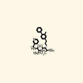 Cc1cc(CCC[C@@H](C(=O)N[C@H](C(=O)N[C@H](C)c2cccnc2)C(C)(C)C)C(C(=O)O)C(C)(C)C)ccc1-c1ccccc1